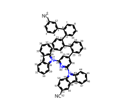 N#Cc1cccc(-c2ccccc2-c2ccccc2-c2ccccc2-c2cc(-n3c4ccccc4c4ccccc43)nc(-n3c4ccccc4c4cc(C#N)ccc43)c2)c1